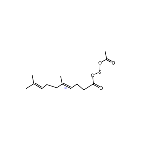 CC(=O)OSOC(=O)CC/C=C(\C)CCC=C(C)C